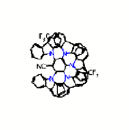 N#Cc1c(-n2c3ccccc3c3ccccc32)c(-n2c3ccccc3c3ccc(C(F)(F)F)cc32)c(-n2c3ccccc3c3ccccc32)c(-n2c3ccccc3c3ccc(C(F)(F)F)cc32)c1-n1c2ccccc2c2ccccc21